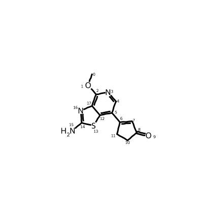 COc1ncc(C2=CC(=O)CC2)c2sc(N)nc12